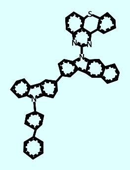 c1ccc(-c2ccc(-n3c4ccccc4c4cc(-c5ccc6c(c5)c5cc7ccccc7cc5n6-c5nc6c7c(cccc7n5)Sc5ccccc5-6)ccc43)cc2)cc1